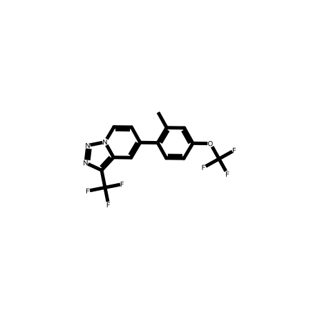 Cc1cc(OC(F)(F)F)ccc1-c1ccn2nnc(C(F)(F)F)c2c1